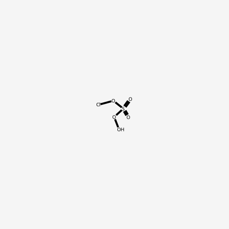 O=S(=O)(OO)OCl